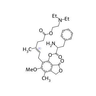 CCN(CC)CCOC(=O)CC/C(C)=C/Cc1c(OC)c(C)c2c(c1OC(=O)C(N)Cc1ccccc1)C(=O)OC2